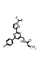 C=CC(=O)NCc1cc(-c2ccc(F)cc2)nc(-c2ccn(C(F)F)n2)n1